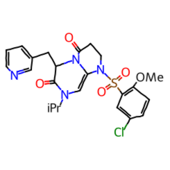 COc1ccc(Cl)cc1S(=O)(=O)N1CCC(=O)N2C1=CN(C(C)C)C(=O)C2Cc1cccnc1